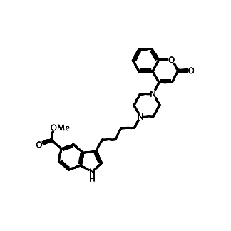 COC(=O)c1ccc2[nH]cc(CCCCN3CCN(c4cc(=O)oc5ccccc45)CC3)c2c1